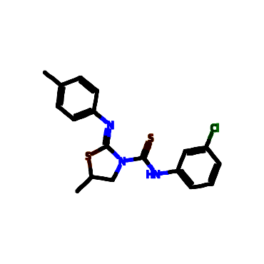 Cc1ccc(/N=C2\SC(C)CN2C(=S)Nc2cccc(Cl)c2)cc1